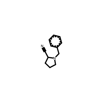 N#CC1CCCN1Cc1ccccc1